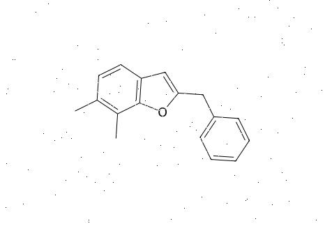 Cc1ccc2cc(Cc3ccccc3)oc2c1C